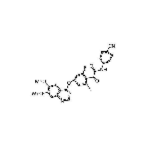 COc1cc2ncnc(Oc3cc(F)c(C(=O)C(=O)Nc4ccc(C#N)cc4)c(F)c3)c2cc1OC